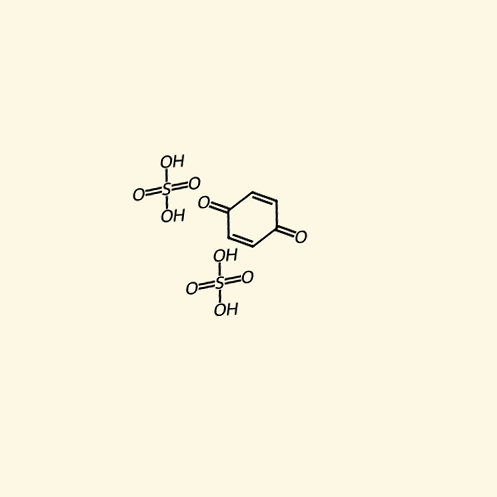 O=C1C=CC(=O)C=C1.O=S(=O)(O)O.O=S(=O)(O)O